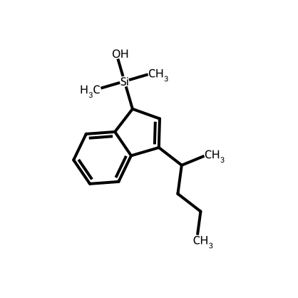 CCCC(C)C1=CC([Si](C)(C)O)c2ccccc21